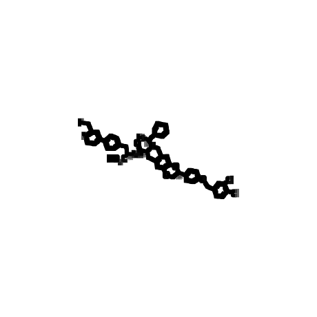 CC[C@@H](c1ccccc1)N1Cc2cc3c(cc2C[C@H]1C(=O)N[C@@H](Cc1ccc(-c2ccnc(CF)c2)cc1)C(=O)O)OC[C@H](c1ccc(OCc2ccc(Cl)c(Cl)c2)cc1)O3